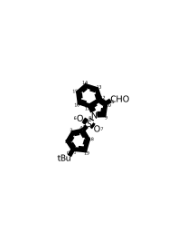 CC(C)(C)c1ccc(S(=O)(=O)n2cc(C=O)c3ccccc32)cc1